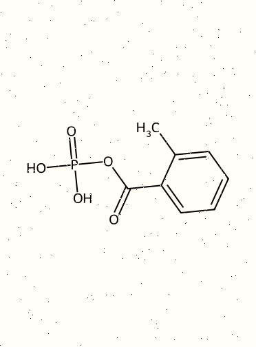 Cc1ccccc1C(=O)OP(=O)(O)O